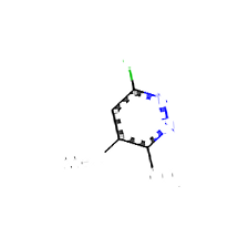 COc1cc(Cl)nnc1C(=O)O